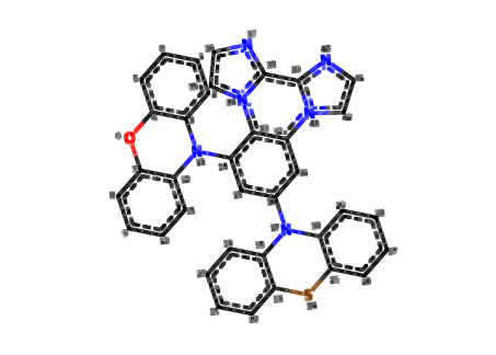 c1ccc2c(c1)Oc1ccccc1N2c1cc(N2c3ccccc3Sc3ccccc32)cc2c1n1ccnc1c1nccn21